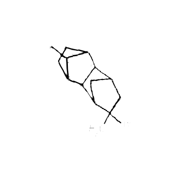 CC(C)C1(C)CC2CC1C1C3CCC(C3I)C21